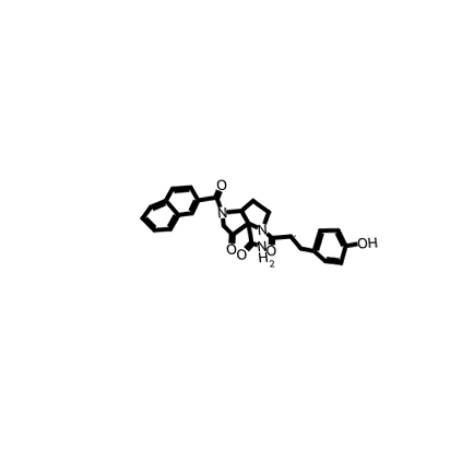 NC(=O)C12C(=O)CN(C(=O)c3ccc4ccccc4c3)C1CCN2C(=O)[CH]Cc1ccc(O)cc1